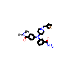 CC(C)N(C(=O)c1ccc(N(c2cccc(C(N)=O)c2)C2CCN(Cc3ccsc3)CC2)cc1)C(C)C